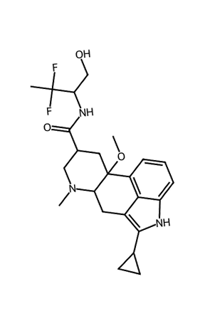 COC12CC(C(=O)NC(CO)C(C)(F)F)CN(C)C1Cc1c(C3CC3)[nH]c3cccc2c13